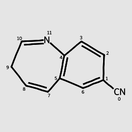 N#Cc1ccc2c(c1)C=CCC=N2